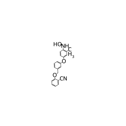 Cc1cc(Oc2cccc(COc3ccccc3C#N)c2)ccc1NO